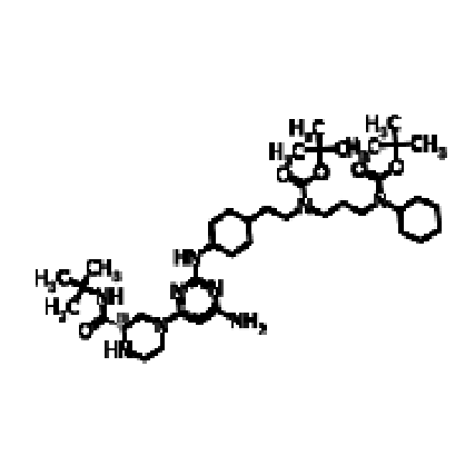 CC(C)(C)NC(=O)[C@@H]1CN(c2cc(N)nc(NC3CCC(CCN(CCCN(C(=O)OC(C)(C)C)C4CCCCC4)C(=O)OC(C)(C)C)CC3)n2)CCN1